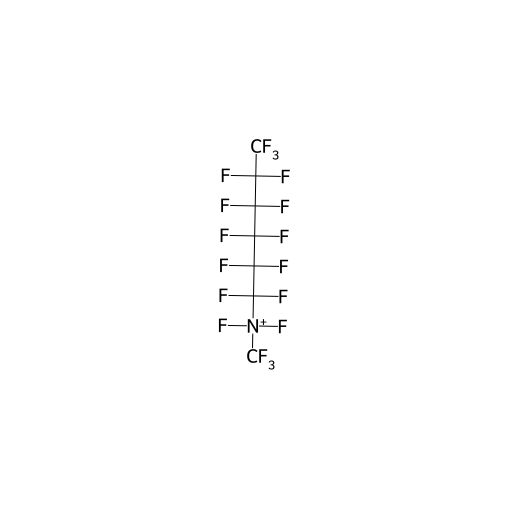 FC(F)(F)C(F)(F)C(F)(F)C(F)(F)C(F)(F)C(F)(F)[N+](F)(F)C(F)(F)F